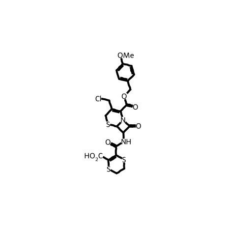 COc1ccc(COC(=O)C2=C(CCl)CSC3C(NC(=O)C4=C(C(=O)O)SCCS4)C(=O)N23)cc1